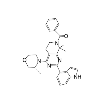 C[C@@H]1COCCN1c1nc(-c2cccc3[nH]ccc23)nc2c1CCN(C(=O)c1ccccc1)C2(C)C